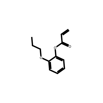 C=CC(=O)Oc1ccccc1OCCC